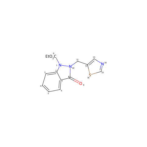 CCOC(=O)n1c2ccccc2c(=O)n1Cc1cncs1